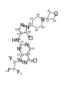 FC(F)C(F)n1nc(Cl)c2cnc(Nc3cnn(C4CCN(C5COC5)CC4)c3Cl)nc21